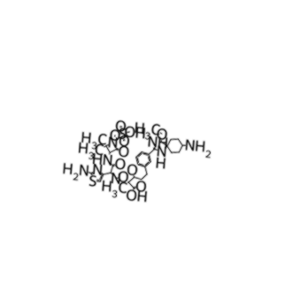 COCC1(NC(=N)c2ccc3c(c2)CCC(C(C)(ON=C(C(=O)NC2C(=O)N(OS(=O)(=O)O)C2(C)C)c2csc(N)n2)C(=O)O)O3)CCC(N)CC1